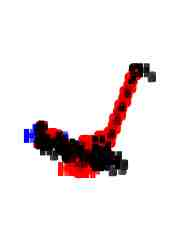 COCCOCCOCCOCCOCCOCCOCCOCCOCCOCCOCCN(CCC(=O)N[C@H](C(=O)N[C@@H](C)C(=O)Nc1ccc(COC(=O)N(CCOC23CC4(C)CC(C)(CC(Cn5ncc(-c6ccc(N7CCc8cccc(C(=O)Nc9nc%10ccccc%10s9)c8C7)nc6C(=O)O)c5C)(C4)C2)C3)CC[C@H](O)CO)c(CC[C@@H]2O[C@H](C(=O)O)[C@@H](O)[C@H](O)[C@H]2O)c1)C(C)C)C(=O)CN1C(=O)C=CC1=O